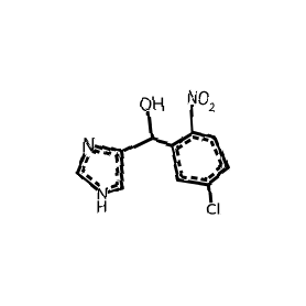 O=[N+]([O-])c1ccc(Cl)cc1C(O)c1c[nH]cn1